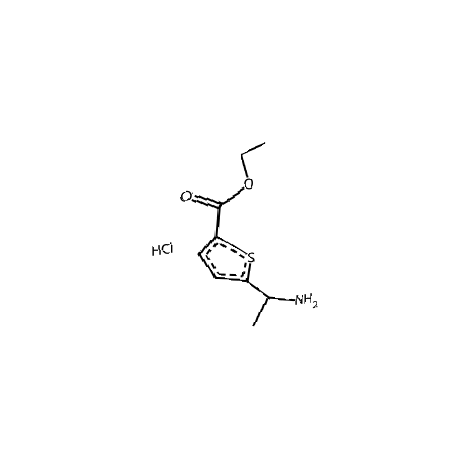 CCOC(=O)c1ccc(C(C)N)s1.Cl